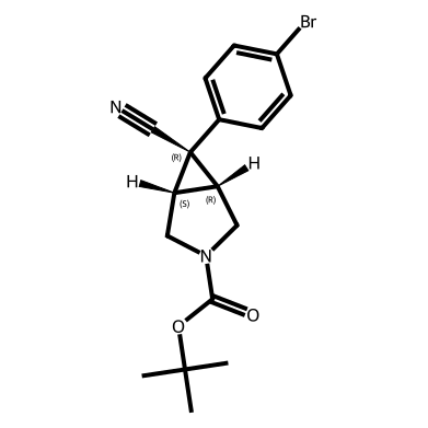 CC(C)(C)OC(=O)N1C[C@@H]2[C@H](C1)[C@]2(C#N)c1ccc(Br)cc1